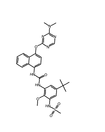 COc1c(NC(=O)Nc2ccc(Oc3ncnc(N(C)C)n3)c3ccccc23)cc(C(C)(C)C)cc1NS(C)(=O)=O